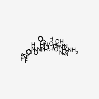 Nc1ncnc2c1ncn2[C@@H]1O[C@H](C[C@H](CCCNC(=O)Nc2ccc(C3(C(F)(F)F)CC3)cc2)CNCc2ccccc2)C(O)[C@@H]1O